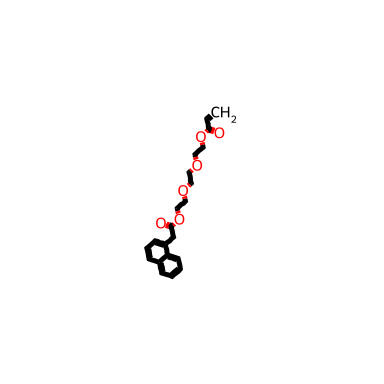 C=CC(=O)OCCOCCOCCOC(=O)Cc1cccc2ccccc12